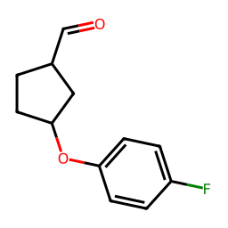 O=CC1CCC(Oc2ccc(F)cc2)C1